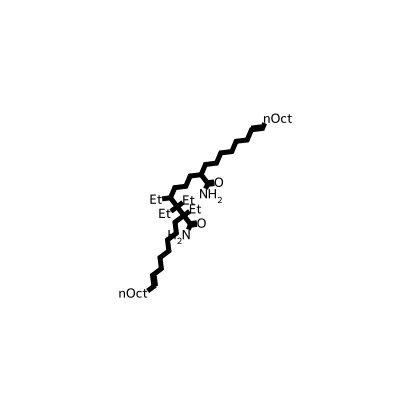 CCCCCCCCC=CCCCCCCC(CCCC(CC)C(CC)(CC)C(CC)(CCCCCCC=CCCCCCCCC)C(N)=O)C(N)=O